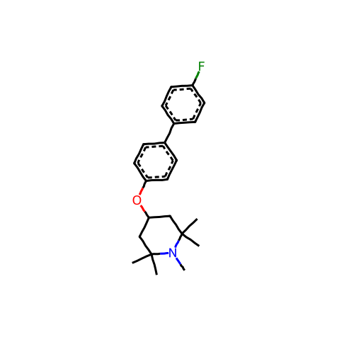 CN1C(C)(C)CC(Oc2ccc(-c3ccc(F)cc3)cc2)CC1(C)C